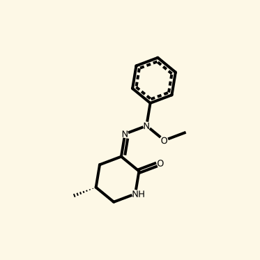 CON(N=C1C[C@@H](C)CNC1=O)c1ccccc1